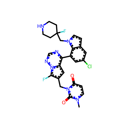 Cn1ccc(=O)n(Cc2cc3c(-c4cc(Cl)cc5ccn(CC6(F)CCNCC6)c45)ncnn3c2F)c1=O